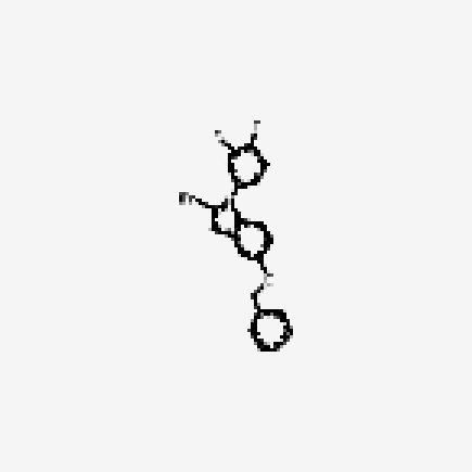 CC(C)c1cc2cc(OCc3ccccc3)ccc2n1-c1ccc(F)c(F)c1